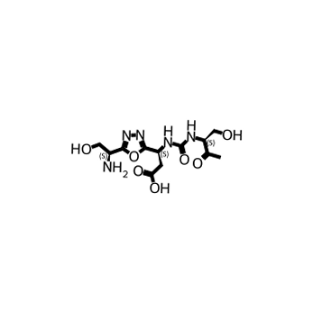 CC(=O)[C@H](CO)NC(=O)N[C@@H](CC(=O)O)c1nnc([C@@H](N)CO)o1